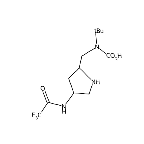 CC(C)(C)N(CC1CC(NC(=O)C(F)(F)F)CN1)C(=O)O